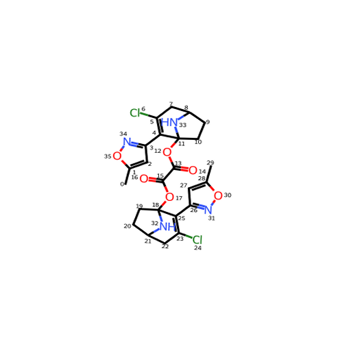 Cc1cc(C2=C(Cl)CC3CCC2(OC(=O)C(=O)OC24CCC(CC(Cl)=C2c2cc(C)on2)N4)N3)no1